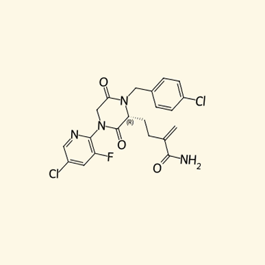 C=C(CC[C@@H]1C(=O)N(c2ncc(Cl)cc2F)CC(=O)N1Cc1ccc(Cl)cc1)C(N)=O